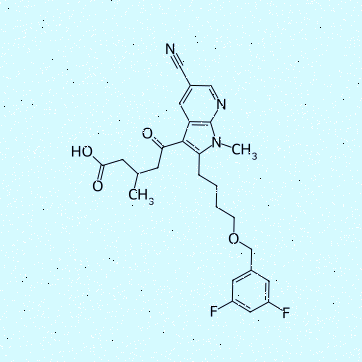 CC(CC(=O)O)CC(=O)c1c(CCCCOCc2cc(F)cc(F)c2)n(C)c2ncc(C#N)cc12